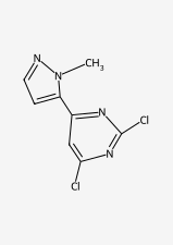 Cn1nccc1-c1cc(Cl)nc(Cl)n1